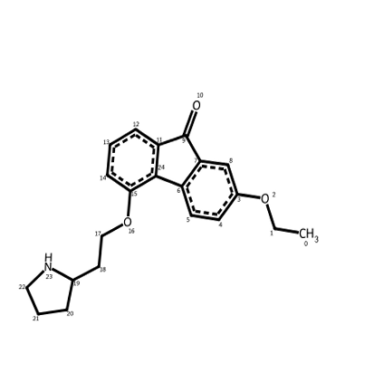 CCOc1ccc2c(c1)C(=O)c1cccc(OCCC3CCCN3)c1-2